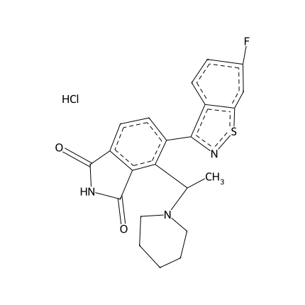 CC(c1c(-c2nsc3cc(F)ccc23)ccc2c1C(=O)NC2=O)N1CCCCC1.Cl